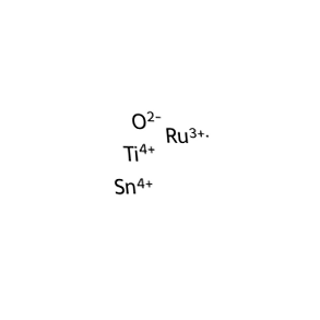 [O-2].[Ru+3].[Sn+4].[Ti+4]